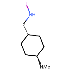 CN[C@H]1CC[C@H](CNI)CC1